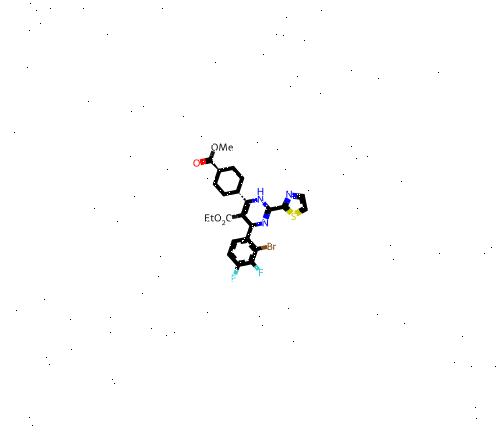 CCOC(=O)C1=C([C@H]2CC[C@H](C(=O)OC)CC2)NC(c2nccs2)=NC1c1ccc(F)c(F)c1Br